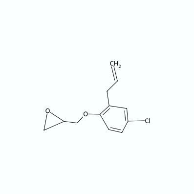 C=CCc1cc(Cl)ccc1OCC1CO1